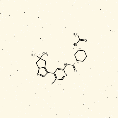 CC(=O)N[C@@H]1CCC[C@H](C(=O)Nc2cc(-c3cnn4c3CC(C)(C)C4)c(F)cn2)C1